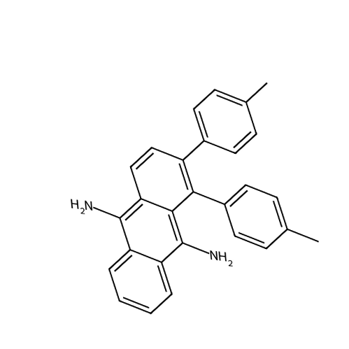 Cc1ccc(-c2ccc3c(N)c4ccccc4c(N)c3c2-c2ccc(C)cc2)cc1